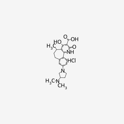 CC1CCc2cc(N3CCC(N(C)C)C3)ccc2-c2[nH]c(=O)c(C(=O)O)c(O)c21.Cl